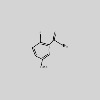 COc1ccc(F)c(C(N)=O)c1